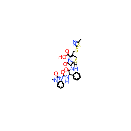 Cc1nnc(SCC2=C(C(=O)O)N3C(=O)C(NC(=O)C(NC(=O)n4c(=O)n(C)c5ccccc54)c4ccccc4)[C@@H]3SC2)s1